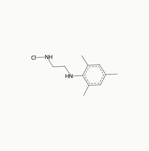 Cc1cc(C)c(NCCNCl)c(C)c1